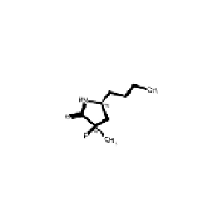 C[C@]1(F)C[C@H](CCCO)NC1=O